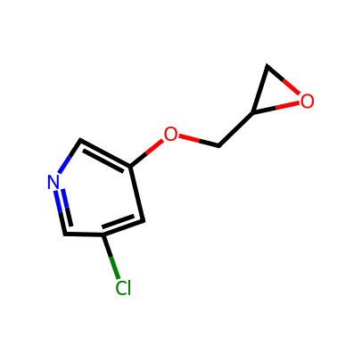 Clc1cncc(OCC2CO2)c1